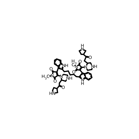 CN1C(=O)C(c2c(CCCCCc3[nH]c4ccccc4c3C3=C(N4CCNCC4CC(=O)C4CCNC4)C(=O)N(C)C3=O)[nH]c3ccccc23)=C(N2CCNCC2CC(=O)C2CCNC2)C1=O